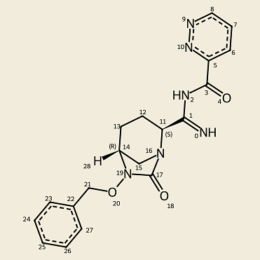 N=C(NC(=O)c1cccnn1)[C@@H]1CC[C@@H]2CN1C(=O)N2OCc1ccccc1